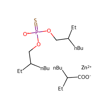 CCCCC(CC)C(=O)[O-].CCCCC(CC)COP([O-])(=S)OCC(CC)CCCC.[Zn+2]